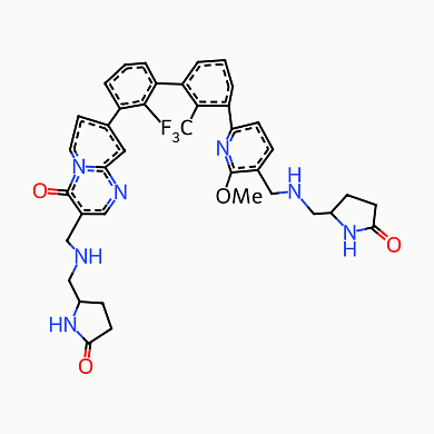 COc1nc(-c2cccc(-c3cccc(-c4ccn5c(=O)c(CNCC6CCC(=O)N6)cnc5c4)c3C)c2C(F)(F)F)ccc1CNCC1CCC(=O)N1